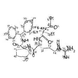 CCC(CC)(NC(=O)C(C)C)C(=O)N[C@H](CCCNC(=N)N)C(=O)NC1(C(=O)NC(c2ccccc2)c2ccccc2)CCCC1